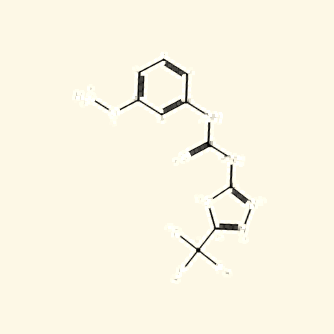 COc1cccc(NC(=O)Nc2nnc(C(F)(F)F)s2)c1